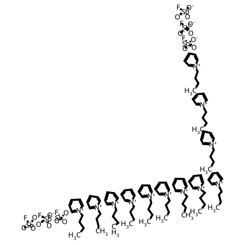 CCCC[n+]1ccccc1.CCCC[n+]1ccccc1.CCCC[n+]1ccccc1.CCCC[n+]1ccccc1.CCCC[n+]1ccccc1.CCCC[n+]1ccccc1.CCCC[n+]1ccccc1.CCCC[n+]1ccccc1.CCCC[n+]1ccccc1.CCCC[n+]1ccccc1.CCCC[n+]1ccccc1.CCCC[n+]1ccccc1.[O]=[Sb]([O-])([O-])[F].[O]=[Sb]([O-])([O-])[F].[O]=[Sb]([O-])([O-])[F].[O]=[Sb]([O-])([O-])[F].[O]=[Sb]([O-])([O-])[F].[O]=[Sb]([O-])([O-])[F]